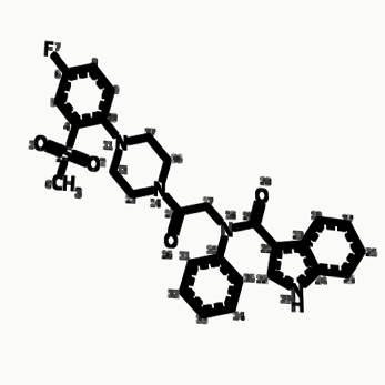 CS(=O)(=O)c1cc(F)ccc1N1CCN(C(=O)CN(C(=O)c2c[nH]c3ccccc23)c2ccccc2)CC1